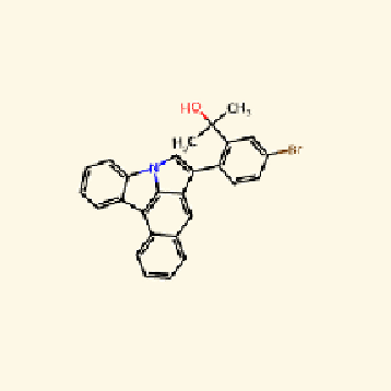 CC(C)(O)c1cc(Br)ccc1-c1cn2c3ccccc3c3c4ccccc4cc1c32